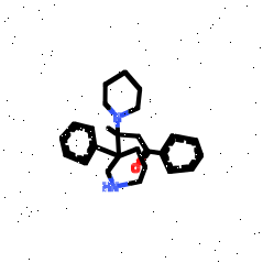 CC(CC(=O)c1ccccc1)(N1CCCCC1)C1(c2ccccc2)CCCNC1